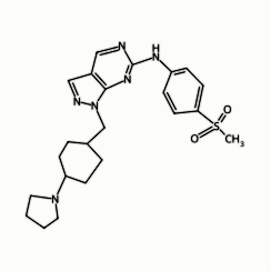 CS(=O)(=O)c1ccc(Nc2ncc3cnn(CC4CCC(N5CCCC5)CC4)c3n2)cc1